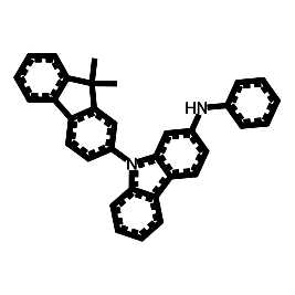 CC1(C)c2ccccc2-c2ccc(-n3c4ccccc4c4ccc(Nc5ccccc5)cc43)cc21